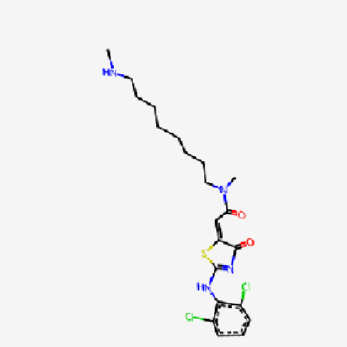 CNCCCCCCCCN(C)C(=O)C=C1SC(Nc2c(Cl)cccc2Cl)=NC1=O